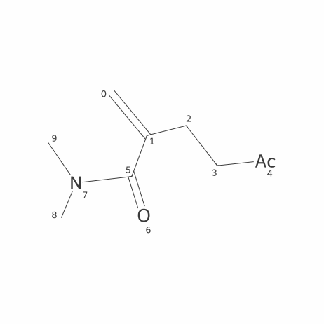 C=C(CCC(C)=O)C(=O)N(C)C